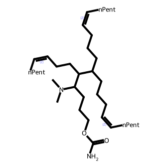 CCCCC/C=C\CCCC(CCC/C=C\CCCCC)C(CC/C=C\CCCCC)C(CCCOC(N)=O)N(C)C